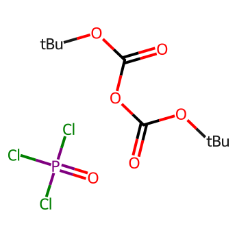 CC(C)(C)OC(=O)OC(=O)OC(C)(C)C.O=P(Cl)(Cl)Cl